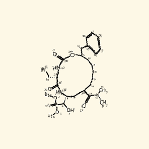 CCOP(=O)(OCC)C(O)[C@@H]1CC(C(=O)N(C)C)CCCCCC(Cc2ccccc2)OC(=O)N[C@@H](CC(C)C)C(=O)N1